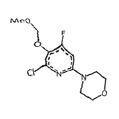 COCOc1c(F)cc(N2CCOCC2)nc1Cl